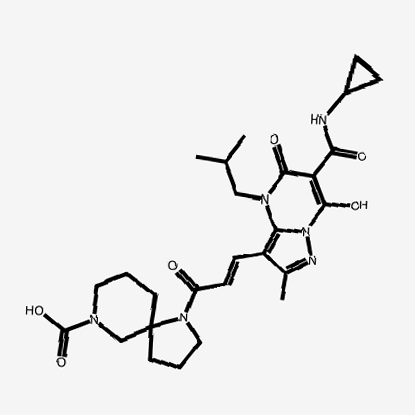 Cc1nn2c(O)c(C(=O)NC3CC3)c(=O)n(CC(C)C)c2c1C=CC(=O)N1CCCC12CCCN(C(=O)O)C2